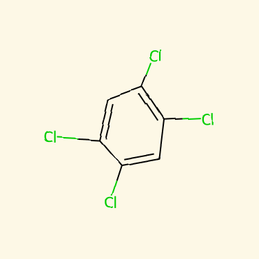 Clc1cc(Cl)c(Cl)cc1Cl